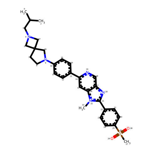 CC(C)CN1CC2(CCN(c3ccc(-c4cc5c(cn4)nc(-c4ccc(S(C)(=O)=O)cc4)n5C)cc3)C2)C1